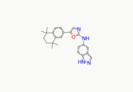 CC1(C)CCC(C)(C)c2cc(-c3cnc(Nc4ccc5[nH]ncc5c4)o3)ccc21